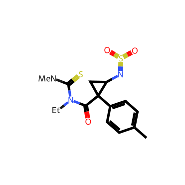 CCN(C(=O)C1(c2ccc(C)cc2)CC1N=S(=O)=O)C(=S)NC